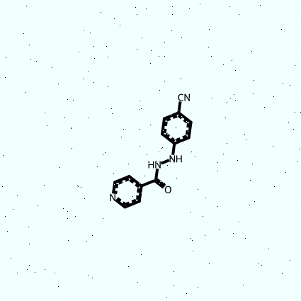 N#Cc1ccc(NNC(=O)c2ccncc2)cc1